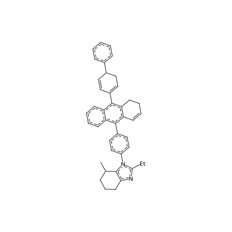 CCc1nc2c(n1-c1ccc(-c3c4c(c(C5=CCC(c6ccccc6)C=C5)c5ccccc35)CCC=C4)cc1)C(C)CCC2